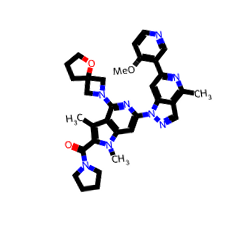 COc1ccncc1-c1cc2c(cnn2-c2cc3c(c(N4CC5(CCCO5)C4)n2)c(C)c(C(=O)N2CCCC2)n3C)c(C)n1